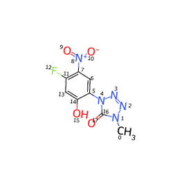 Cn1nnn(-c2cc([N+](=O)[O-])c(F)cc2O)c1=O